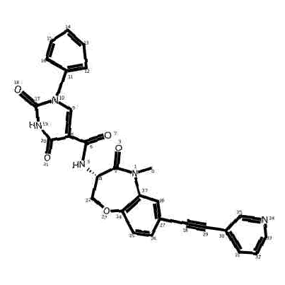 CN1C(=O)[C@@H](NC(=O)c2cn(-c3ccccc3)c(=O)[nH]c2=O)COc2ccc(C#Cc3cccnc3)cc21